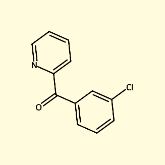 O=C(c1cccc(Cl)c1)c1ccccn1